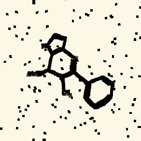 CNC1c2[nH]ccc2N=C(c2cccnc2)N1C